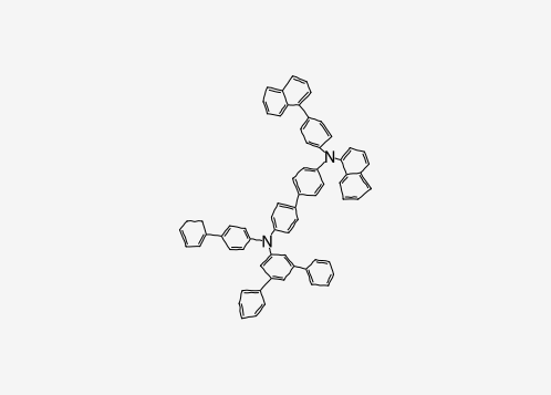 C1=CCCC(c2ccc(N(c3ccc(-c4ccc(N(c5ccc(-c6cccc7ccccc67)cc5)c5cccc6ccccc56)cc4)cc3)c3cc(-c4ccccc4)cc(-c4ccccc4)c3)cc2)=C1